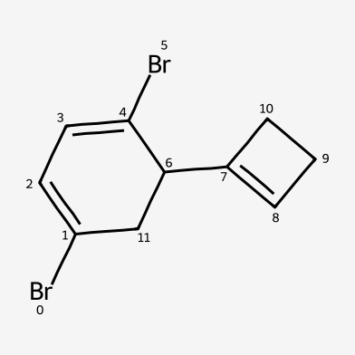 BrC1=CC=C(Br)C(C2=CCC2)C1